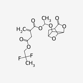 C=C(CC(=O)OCC(C)(F)F)C(=O)OC(C)OC1C2CC3C(=O)OC1C3O2